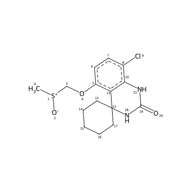 C[S+]([O-])COc1ccc(Cl)c2c1C1(CCCCC1)NC(=O)N2